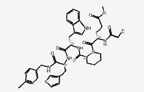 COC(=O)CC[C@H](NC(=O)CCl)C(=O)N1CCCC[C@H]1C(=O)N[C@@H](Cc1c[nH]c2ccccc12)C(=O)N[C@@H](Cc1ccsc1)C(=O)NCc1ccc(C)cc1